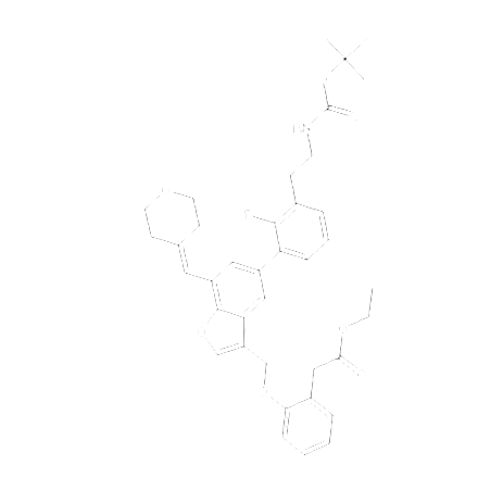 CCOC(=O)Cc1ccccc1OCc1coc2c(C=C3CCOCC3)cc(-c3cccc(CCNC(=O)OC(C)(C)C)c3F)cc12